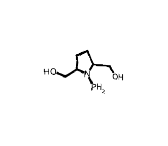 OCC1CCC(CO)N1P